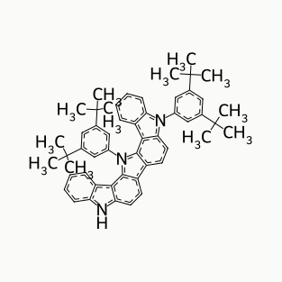 CC(C)(C)c1cc(-n2c3ccccc3c3c2ccc2c4ccc5[nH]c6ccccc6c5c4n(-c4cc(C(C)(C)C)cc(C(C)(C)C)c4)c23)cc(C(C)(C)C)c1